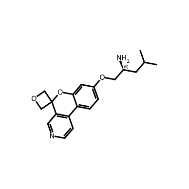 CC(C)C[C@H](N)COc1ccc2c(c1)OC1(COC1)c1cnccc1-2